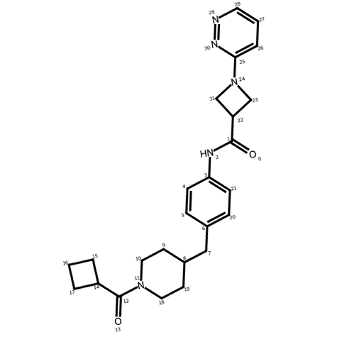 O=C(Nc1ccc(CC2CCN(C(=O)C3CCC3)CC2)cc1)C1CN(c2cccnn2)C1